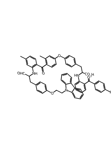 Cc1ccc(C(=O)c2ccc(Oc3ccc(CC(Nc4ccccc4C(=O)c4ccc(F)cc4)C(=O)O)cc3)cc2C)c(NC(C=O)Cc2ccc(OCCn3c4ccccc4c4ccccc43)cc2)c1